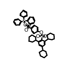 O=S(=O)(OS(c1ccccc1)(c1ccccc1)c1ccccc1)c1ccc(OS(=O)(=O)c2c(C3CCCCC3)cc(C3CCCCC3)cc2C2CCCCC2)cc1